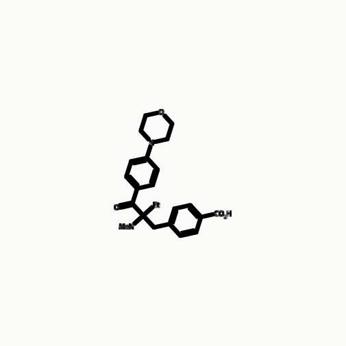 CCC(Cc1ccc(C(=O)O)cc1)(NC)C(=O)c1ccc(N2CCOCC2)cc1